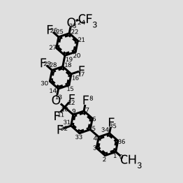 Cc1ccc(-c2cc(F)c(C(F)(F)Oc3cc(F)c(-c4ccc(OC(F)(F)F)c(F)c4)c(F)c3)c(F)c2)c(F)c1